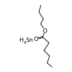 CCCCCC(=O)OCCCC.[SnH4]